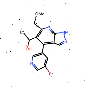 CCC(O)c1c(COC)nc2[nH]ncc2c1-c1cncc(Br)c1